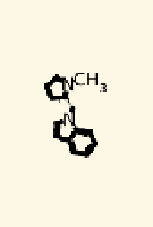 CN1CCC[C@H]1Cn1ccc2ccccc21